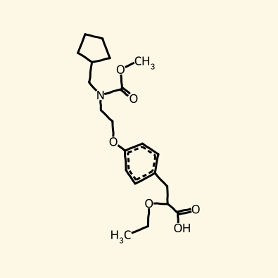 CCOC(Cc1ccc(OCCN(CC2CCCC2)C(=O)OC)cc1)C(=O)O